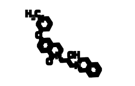 CN1CCCC(Oc2ccc3c(c2)CCN(C[C@H](O)CN2CCc4ccccc4C2)C3=O)C1